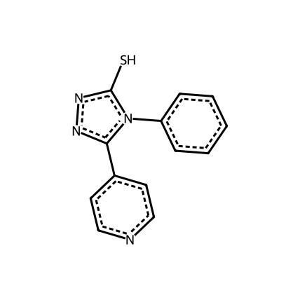 Sc1nnc(-c2ccncc2)n1-c1ccccc1